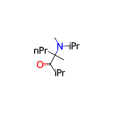 CCCC(C)(C(=O)C(C)C)N(C)C(C)C